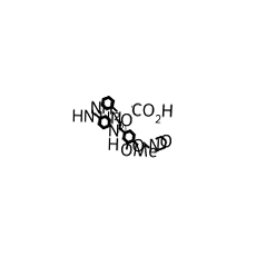 CC(=O)O.COc1cc([C@@H](Nc2ccc(C(=N)N)cc2)C(=O)NCc2ccccc2)ccc1OCCN1CCOCC1